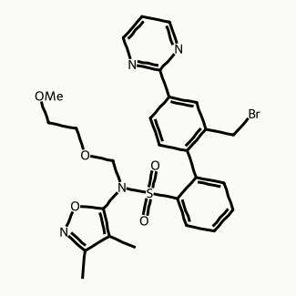 COCCOCN(c1onc(C)c1C)S(=O)(=O)c1ccccc1-c1ccc(-c2ncccn2)cc1CBr